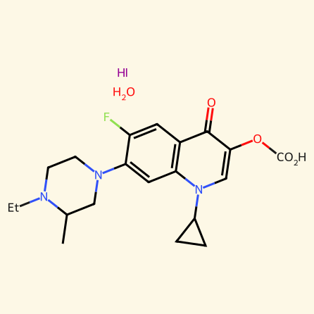 CCN1CCN(c2cc3c(cc2F)c(=O)c(OC(=O)O)cn3C2CC2)CC1C.I.O